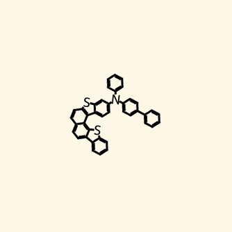 c1ccc(-c2ccc(N(c3ccccc3)c3ccc4c(c3)sc3ccc5ccc6c7ccccc7sc6c5c34)cc2)cc1